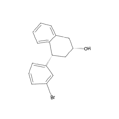 O[C@H]1Cc2ccccc2[C@@H](c2cccc(Br)c2)C1